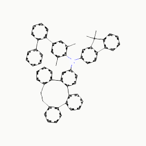 Cc1cc(-c2ccccc2-c2ccccc2)cc(C)c1N(c1ccc2c(c1)-c1ccccc1CCc1ccccc1-c1ccccc1-2)c1ccc2c(c1)C(C)(C)c1ccccc1-2